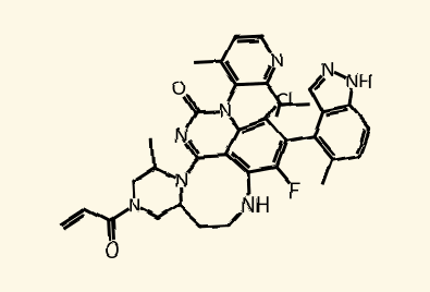 C=CC(=O)N1CC(C)N2c3nc(=O)n(-c4c(C)ccnc4C(C)C)c4c(Cl)c(-c5c(C)ccc6[nH]ncc56)c(F)c(c34)NCCC2C1